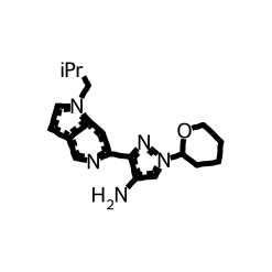 CC(C)Cn1ccc2cnc(-c3nn(C4CCCCO4)cc3N)cc21